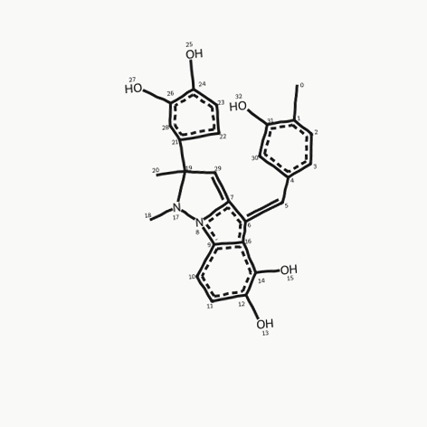 Cc1ccc(/C=c2\c3n(c4ccc(O)c(O)c24)N(C)C(C)(c2ccc(O)c(O)c2)C=3)cc1O